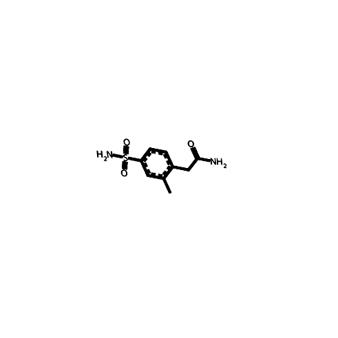 Cc1cc(S(N)(=O)=O)ccc1CC(N)=O